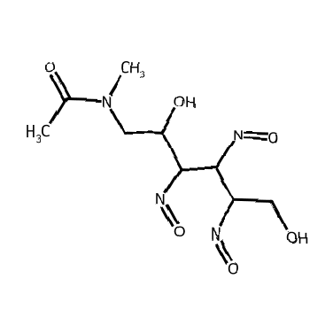 CC(=O)N(C)CC(O)C(N=O)C(N=O)C(CO)N=O